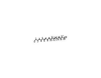 CCCCCCC=CCCCCC=CCCCCCC